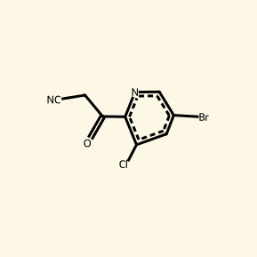 N#CCC(=O)c1ncc(Br)cc1Cl